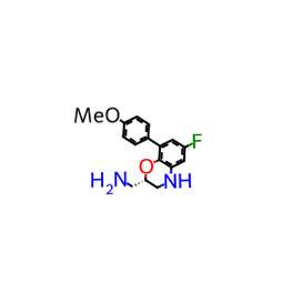 COc1ccc(-c2cc(F)cc3c2O[C@@H](CN)CN3)cc1